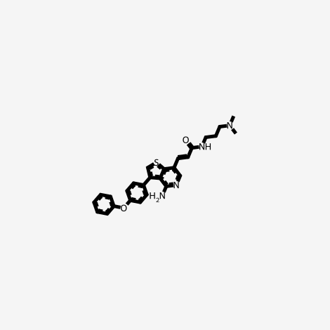 CN(C)CCCNC(=O)C=Cc1cnc(N)c2c(-c3ccc(Oc4ccccc4)cc3)csc12